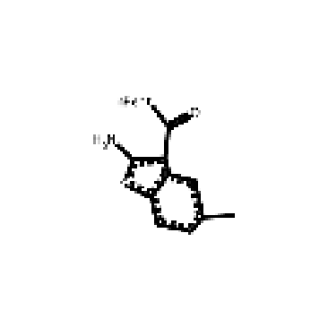 CCCCCC(=O)c1c(N)sc2ccc(C)cc12